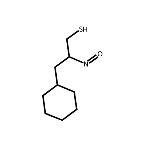 O=NC(CS)CC1CCCCC1